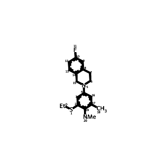 CCSc1cc(N2CCc3cc(F)ccc3C2)cc(C)c1NC